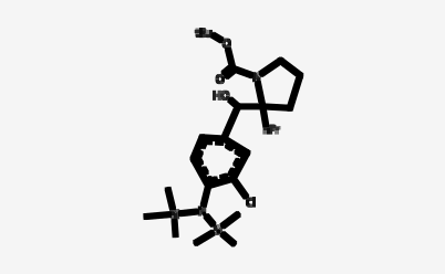 CCCC1(C(O)c2ccc(N([Si](C)(C)C)[Si](C)(C)C)c(Cl)c2)CCCN1C(=O)OC(C)(C)C